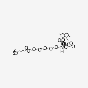 CCC(C)C(=O)OC1CC(C)C=C2C=CC(C)C(CCC3CC(OC(=O)NCCOCCOCCOCCOCCOCCOC(=O)CCCCC4CCSS4)CC(=O)O3)C21